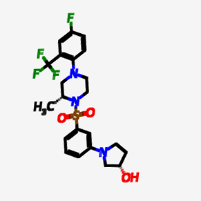 C[C@@H]1CN(c2ccc(F)cc2C(F)(F)F)CCN1S(=O)(=O)c1cccc(N2CC[C@H](O)C2)c1